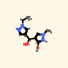 Cn1cc(C(O)c2cnn(CC(F)(F)F)c2)c(Br)n1